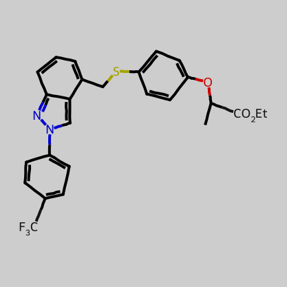 CCOC(=O)C(C)Oc1ccc(SCc2cccc3nn(-c4ccc(C(F)(F)F)cc4)cc23)cc1